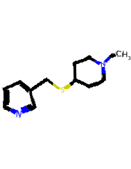 CN1CCC(SCc2cccnc2)CC1